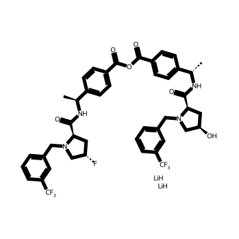 C[C@H](NC(=O)[C@H]1C[C@@H](O)CN1Cc1cccc(C(F)(F)F)c1)c1ccc(C(=O)OC(=O)c2ccc([C@H](C)NC(=O)[C@H]3C[C@H](F)CN3Cc3cccc(C(F)(F)F)c3)cc2)cc1.[LiH].[LiH]